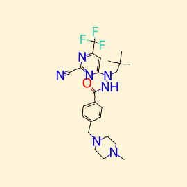 CN1CCN(Cc2ccc(C(=O)NN(CC(C)(C)C)c3cc(C(F)(F)F)nc(C#N)n3)cc2)CC1